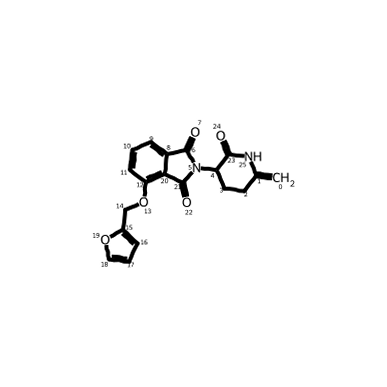 C=C1CCC(N2C(=O)c3cccc(OCc4ccco4)c3C2=O)C(=O)N1